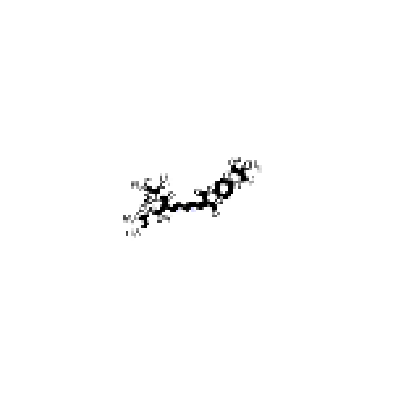 CCC(C)N1C(=O)C(/C=C/C=C/C=C2C(=O)OC3(CCC4(CC3)OC(=O)C(C)=C(O)O4)OC2=O)=C(O)N(C(C)CC)S1(=O)=O